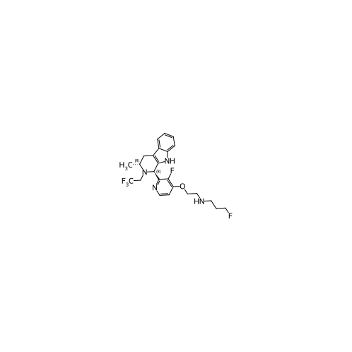 C[C@@H]1Cc2c([nH]c3ccccc23)[C@@H](c2nccc(OCCNCCCF)c2F)N1CC(F)(F)F